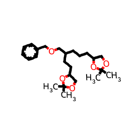 CC1(C)OCC(CCCC(CCC2COC(C)(C)O2)COCc2ccccc2)O1